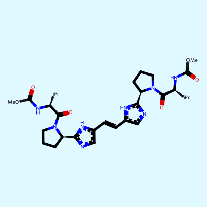 COC(=O)N[C@H](C(=O)N1CCC[C@@H]1c1ncc(C=Cc2cnc([C@H]3CCCN3C(=O)[C@@H](NC(=O)OC)C(C)C)[nH]2)[nH]1)C(C)C